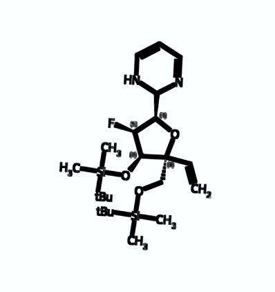 C=C[C@]1(CO[Si](C)(C)C(C)(C)C)O[C@H](C2N=CC=CN2)[C@H](F)[C@@H]1O[Si](C)(C)C(C)(C)C